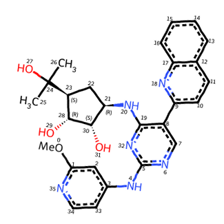 COc1cc(Nc2ncc(-c3ccc4ccccc4n3)c(N[C@@H]3C[C@H](C(C)(C)O)[C@@H](O)[C@H]3O)n2)ccn1